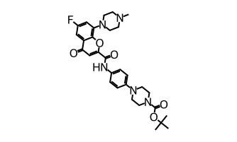 CN1CCN(c2cc(F)cc3c(=O)cc(C(=O)Nc4ccc(N5CCN(C(=O)OC(C)(C)C)CC5)cc4)oc23)CC1